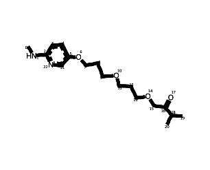 CNc1ccc(OCCCOCCCOCC(=O)C(C)C)cn1